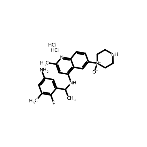 Cc1cc(NC(C)c2cc(N)cc(C)c2F)c2cc([N+]3([O-])CCNCC3)ccc2n1.Cl.Cl